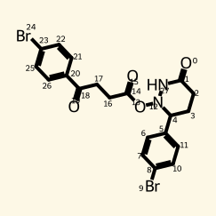 O=C1CCC(c2ccc(Br)cc2)N(OC(=O)CCC(=O)c2ccc(Br)cc2)N1